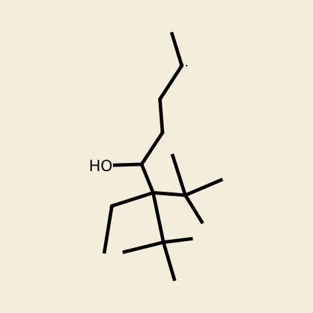 C[CH]CCC(O)C(CC)(C(C)(C)C)C(C)(C)C